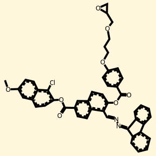 COc1ccc2c(Cl)c(OC(=O)c3ccc4c(/C=N/N=C5c6ccccc6-c6ccccc65)c(OC(=O)c5ccc(OCCCOCC6CO6)cc5)ccc4c3)ccc2c1